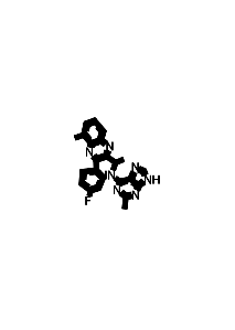 Cc1nc(NC(C)c2nc3cccc(C)c3nc2-c2ccc(F)cc2)c2nc[nH]c2n1